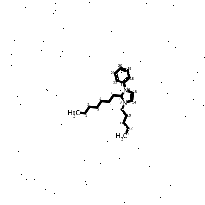 CCCCCCCC1N(CCCCC)C=CN1c1ccccc1